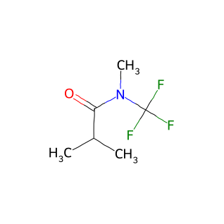 CC(C)C(=O)N(C)C(F)(F)F